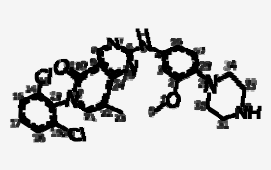 COc1cc(Nc2ncc3c(=O)n(-c4c(Cl)cccc4Cl)cc(C)c3n2)ccc1N1CCNCC1